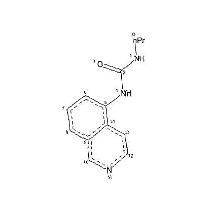 CCCNC(=O)Nc1cccc2cnccc12